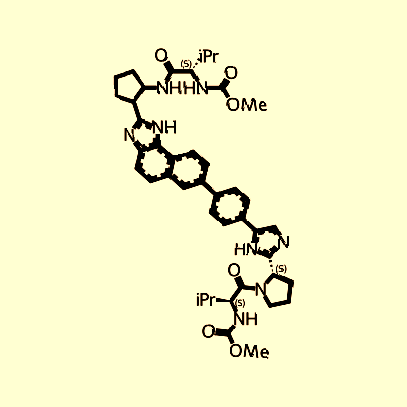 COC(=O)N[C@H](C(=O)NC1CCCC1c1nc2ccc3cc(-c4ccc(-c5cnc([C@@H]6CCCN6C(=O)[C@@H](NC(=O)OC)C(C)C)[nH]5)cc4)ccc3c2[nH]1)C(C)C